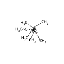 CCCCCCCCCC(CCCCCCCC)OP(=O)(OC(CCCCCCCC)CCCCCCCCC)OC(CCCCCCCC)CCCCCCCCC